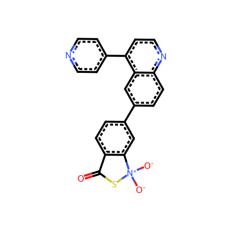 O=C1S[N+]([O-])([O-])c2cc(-c3ccc4nccc(-c5ccncc5)c4c3)ccc21